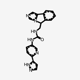 O=C(NCC1c2ccccc2-c2cncn21)Nc1ccc(-c2ccn[nH]2)nc1